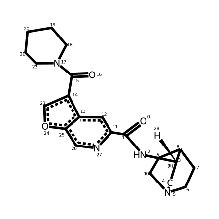 O=C(N[C@H]1CN2CCC1CC2)c1cc2c(C(=O)N3CCCCC3)coc2cn1